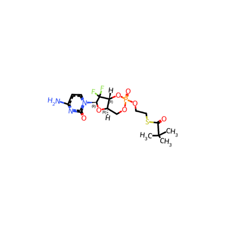 CC(C)(C)C(=O)SCCOP1(=O)OC[C@H]2O[C@@H](n3ccc(N)nc3=O)C(F)(F)[C@@H]2O1